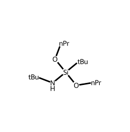 CCCO[Si](NC(C)(C)C)(OCCC)C(C)(C)C